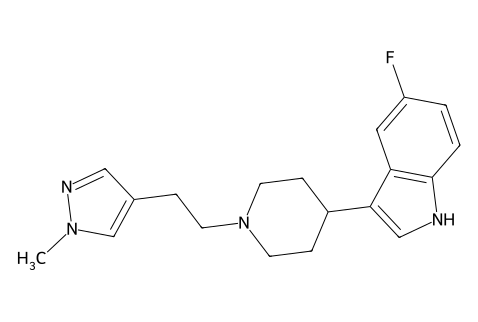 Cn1cc(CCN2CCC(c3c[nH]c4ccc(F)cc34)CC2)cn1